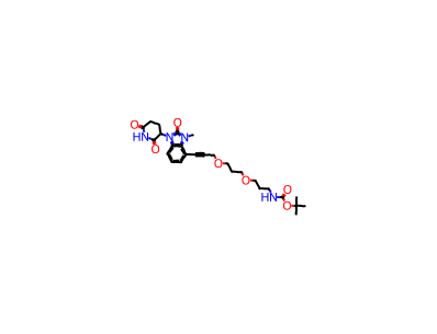 Cn1c(=O)n(C2CCC(=O)NC2=O)c2cccc(C#CCOCCCOCCCNC(=O)OC(C)(C)C)c21